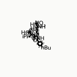 CCCCc1ccc(C(=O)N[C@@H](CCCNC(=N)N[N+](=O)[O-])C(=O)N[C@@H](CC(C)C)B(O)O)cc1